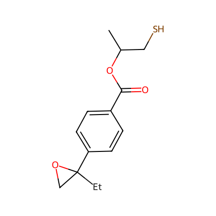 CCC1(c2ccc(C(=O)OC(C)CS)cc2)CO1